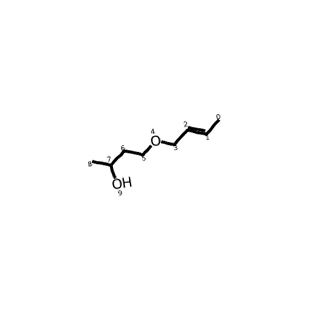 CC=CCOCCC(C)O